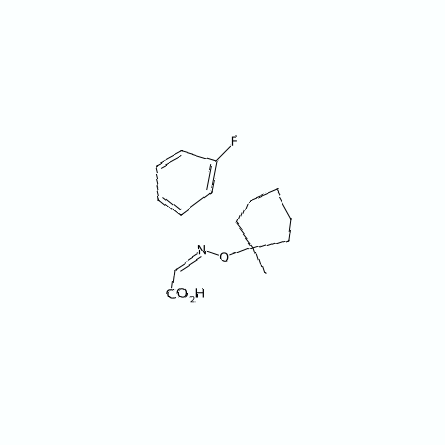 CC1(O/N=C\C(=O)O)CCCCC1.Fc1ccccc1